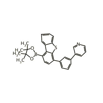 CC1(C)OB(c2ccc(-c3cccc(-c4cccnc4)c3)c3sc4ccccc4c23)OC1(C)C